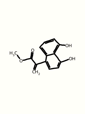 C=C(C(=O)OC)c1ccc(O)c2c(O)cccc12